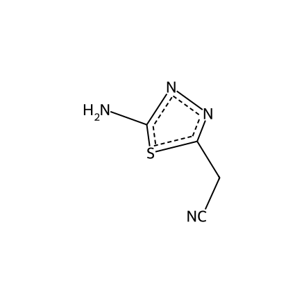 N#CCc1nnc(N)s1